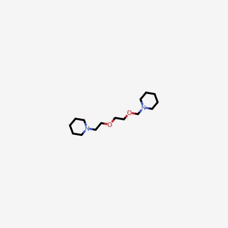 [CH](COCN1CCCCC1)OCCN1CCCCC1